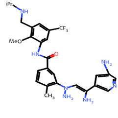 COc1c(CNC(C)C)cc(C(F)(F)F)cc1NC(=O)c1ccc(C)c(N(N)/C=C(\N)c2cncc(N)c2)c1